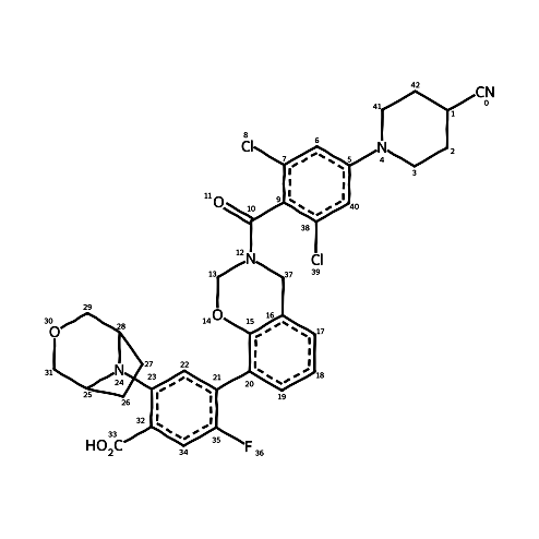 N#CC1CCN(c2cc(Cl)c(C(=O)N3COc4c(cccc4-c4cc(N5C6CCC5COC6)c(C(=O)O)cc4F)C3)c(Cl)c2)CC1